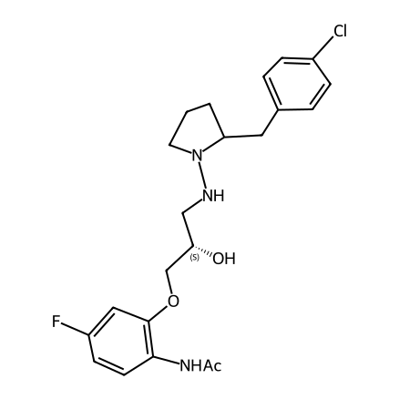 CC(=O)Nc1ccc(F)cc1OC[C@@H](O)CNN1CCCC1Cc1ccc(Cl)cc1